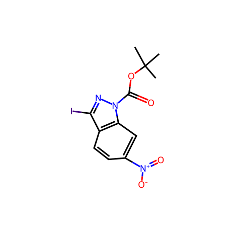 CC(C)(C)OC(=O)n1nc(I)c2ccc([N+](=O)[O-])cc21